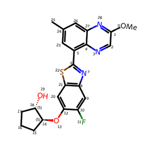 COc1cnc2c(-c3nc4cc(F)c(O[C@H]5CCC[C@@H]5O)cc4s3)cc(C)cc2n1